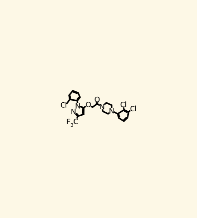 O=C(COc1cc(C(F)(F)F)nn1-c1ccccc1Cl)N1CCN(c2cccc(Cl)c2Cl)CC1